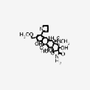 COCc1cc(-c2ccccn2)c2c(c1O)C(=O)C1=C(O)[C@]3(O)C(=O)C(C(N)=O)=C(O)[C@@H](N(C)C)[C@@H]3C[C@@H]1C2